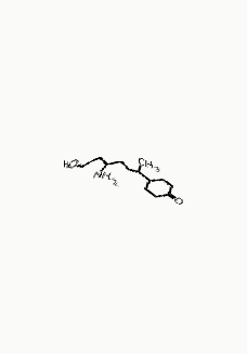 CC(CCC(N)CCO)C1CCC(=O)CC1